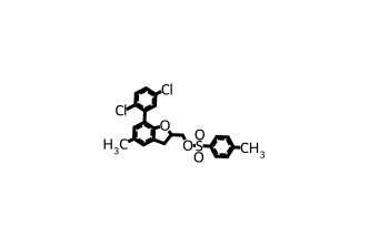 Cc1ccc(S(=O)(=O)OCC2Cc3cc(C)cc(-c4cc(Cl)ccc4Cl)c3O2)cc1